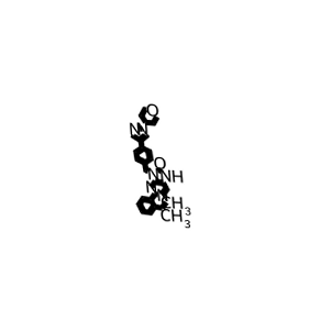 CC(C)c1ccccc1-c1ncc2[nH]c(=O)n(Cc3ccc(-c4cnn(C5CCOCC5)c4)cc3)c2n1